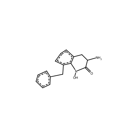 NC1Cc2cccc(Cc3ccccc3)c2N(O)C1=O